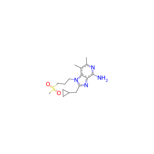 Cc1nc(N)c2nc(CC3CC3)n(CCCS(C)(=O)=O)c2c1C